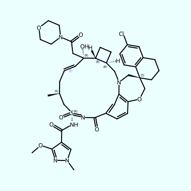 COc1nn(C)cc1C(=O)N[S@@]1(=O)=NC(=O)c2ccc3c(c2)N(C[C@@H]2CC[C@H]2[C@](O)(CC(=O)N2CCOCC2)/C=C/C[C@H](C)C1)C[C@@]1(CCCc2cc(Cl)ccc21)CO3